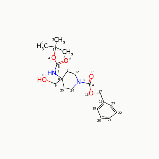 CC(C)(C)OC(=O)NC1(CO)CCN(C(=O)OCc2ccccc2)CC1